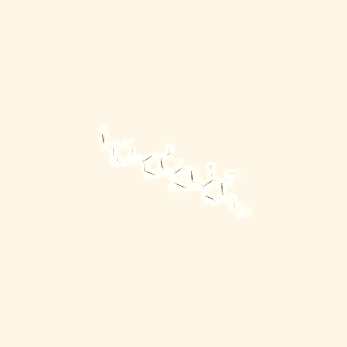 C=CC1CCC(c2ccc(-c3ccc(-c4ccc(CCC)c(F)c4F)cc3)c(F)c2)CO1